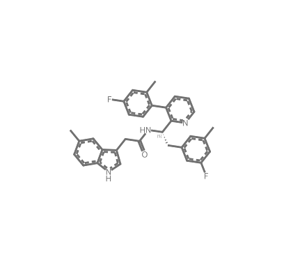 Cc1cc(F)cc(C[C@H](NC(=O)Cc2c[nH]c3ccc(C)cc23)c2ncccc2-c2ccc(F)cc2C)c1